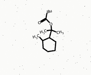 CCC(C)C(=O)OC(C)(C)C1CCCCC1C